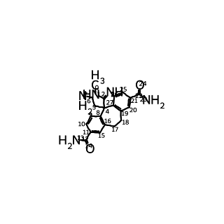 CNC(=N)C1(CCN)c2ccc(C(N)=O)cc2CCc2cc(C(N)=O)ccc21